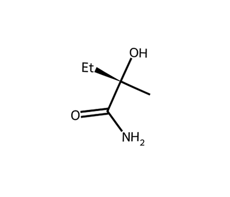 CC[C@](C)(O)C(N)=O